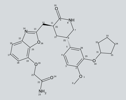 COc1ccc([C@H]2CNC(=O)[C@H](Cc3nc4cccc(OCC(N)=O)c4o3)C2)cc1OC1CCCC1